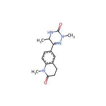 CC1NC(=O)N(C)N=C1c1ccc2c(c1)CCC(=O)N2C